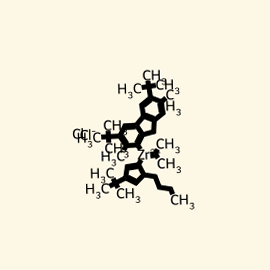 CCCCC1C=C(C(C)(C)C)C=[C]1[Zr+2](=[C](C)C)[c]1c(C)c(C(C)(C)C)cc2c1Cc1cc(C)c(C(C)(C)C)cc1-2.[Cl-].[Cl-]